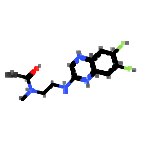 CC(C)COC(=O)N(C)CCNc1cnc2cc(F)c(F)cc2n1